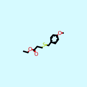 CCOC(=O)CCSCc1ccc(OC)cc1